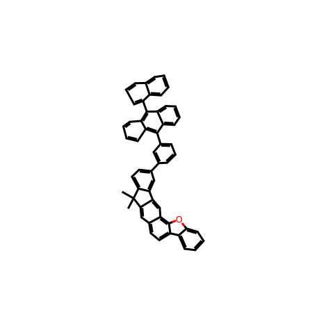 CC1(C)c2ccc(-c3cccc(-c4c5ccccc5c(-c5cccc6ccccc56)c5ccccc45)c3)cc2-c2cc3c(ccc4c5ccccc5oc34)cc21